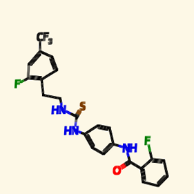 O=C(Nc1ccc(NC(=S)NCCc2ccc(C(F)(F)F)cc2F)cc1)c1ccccc1F